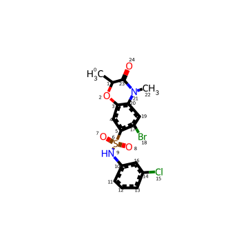 CC1Oc2cc(S(=O)(=O)Nc3cccc(Cl)c3)c(Br)cc2N(C)C1=O